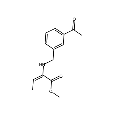 CC=C(NCc1cccc(C(C)=O)c1)C(=O)OC